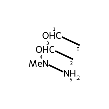 CC=O.CC=O.CNN